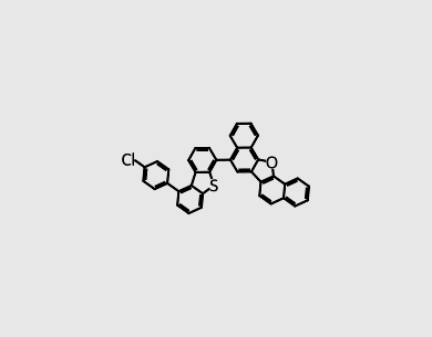 Clc1ccc(-c2cccc3sc4c(-c5cc6c7ccc8ccccc8c7oc6c6ccccc56)cccc4c23)cc1